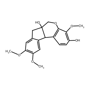 COc1cc2c(cc1OC)C1c3ccc(O)c(OC)c3OCC1(O)C2